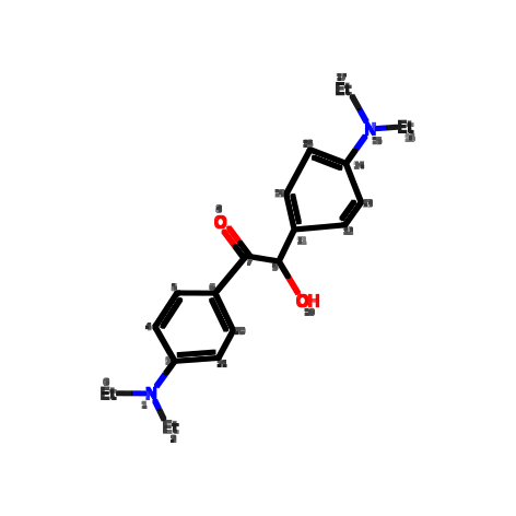 CCN(CC)c1ccc(C(=O)C(O)c2ccc(N(CC)CC)cc2)cc1